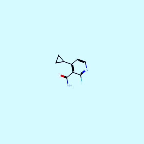 NC(=O)c1c(C2CC2)ccnc1F